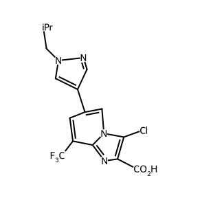 CC(C)Cn1cc(-c2cc(C(F)(F)F)c3nc(C(=O)O)c(Cl)n3c2)cn1